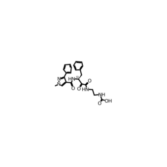 Cn1cc(C(=O)N[C@@H](Cc2ccccc2)C(=O)C(=O)NCCNC(=O)O)c(-c2ccccc2)n1